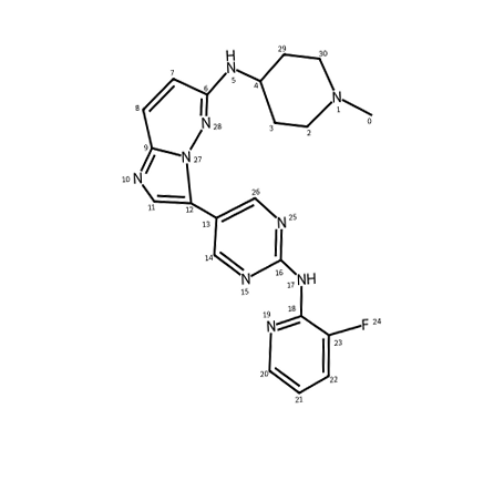 CN1CCC(Nc2ccc3ncc(-c4cnc(Nc5ncccc5F)nc4)n3n2)CC1